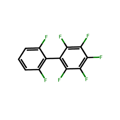 Fc1cccc(F)c1-c1c(F)c(F)c(F)c(F)c1F